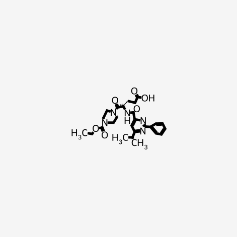 CCOC(=O)N1CCN(C(=O)[C@H](CCC(=O)O)NC(=O)c2cc(C(C)C)nc(-c3ccccc3)n2)CC1